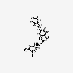 O=C1CCC(CNC[C@@H]2COc3ccc(OCc4ccccc4)cc3O2)CN1